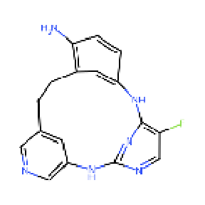 Nc1ccc2cc1CCc1cncc(c1)Nc1ncc(F)c(n1)N2